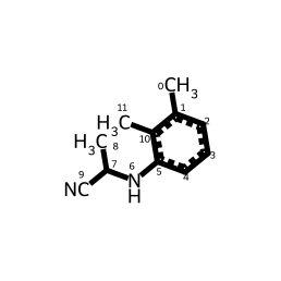 Cc1cccc(NC(C)C#N)c1C